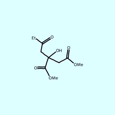 CCC(=O)CC(O)(CC(=O)OC)C(=O)OC